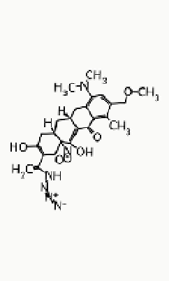 C=C(NN=[N+]=[N-])C1=C(O)C[C@@H]2C[C@@H]3Cc4c(N(C)C)cc(COC)c(C)c4C(=O)C3=C(O)[C@]2(N=O)C1=O